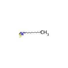 CCCCCCCCCCCCCC[n+]1ccsc1